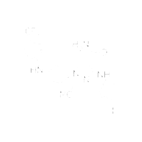 N#CCC1(n2cc(C(N)=O)c(Nc3ccc(F)cc3)n2)CCC(Nc2ccc(C(F)(F)F)cc2)CC1